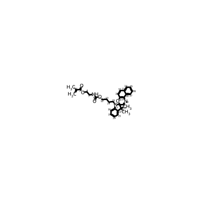 C=C(C)C(=O)OCCNC(=O)OCCCCN1c2ccccc2C(C)(C)C12C=Nc1c(ccc3ccccc13)O2